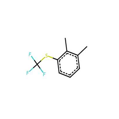 Cc1cccc(SC(F)(F)F)c1C